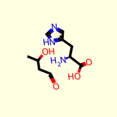 CC(O)CC=O.N[C@@H](Cc1cnc[nH]1)C(=O)O